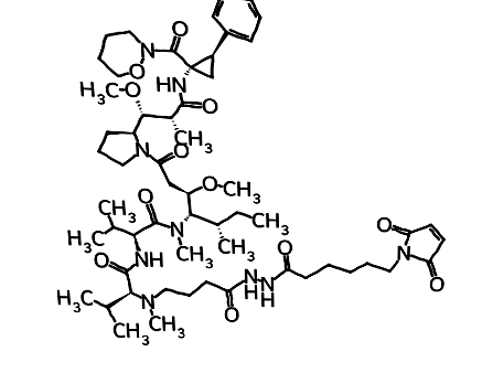 CC[C@H](C)[C@@H]([C@@H](CC(=O)N1CCC[C@H]1[C@H](OC)[C@@H](C)C(=O)N[C@@]1(C(=O)N2CCCCO2)C[C@@H]1c1ccccc1)OC)N(C)C(=O)[C@@H](NC(=O)[C@H](C(C)C)N(C)CCCC(=O)NNC(=O)CCCCCN1C(=O)C=CC1=O)C(C)C